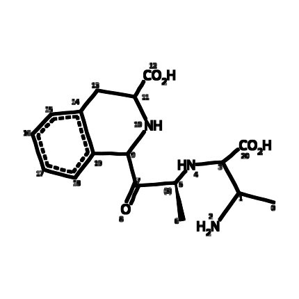 CC(N)C(N[C@@H](C)C(=O)C1NC(C(=O)O)Cc2ccccc21)C(=O)O